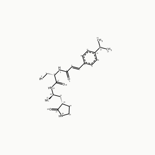 CC(C)C[C@H](NC(=O)/C=C/c1ccc(N(C)C)cc1)C(=O)N[C@H](C#N)C[C@@H]1CCNC1=O